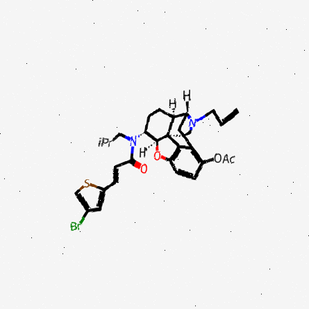 C=CCN1CC[C@@]23c4c5ccc(OC(C)=O)c4C[C@@H]1[C@@H]2CC[C@@H](N(CC(C)C)C(=O)/C=C/c1cc(Br)cs1)[C@@H]3O5